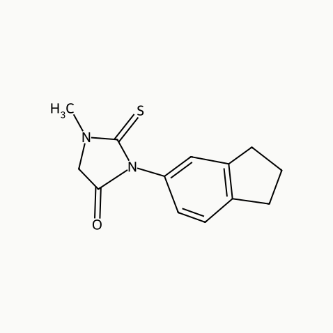 CN1CC(=O)N(c2ccc3c(c2)CCC3)C1=S